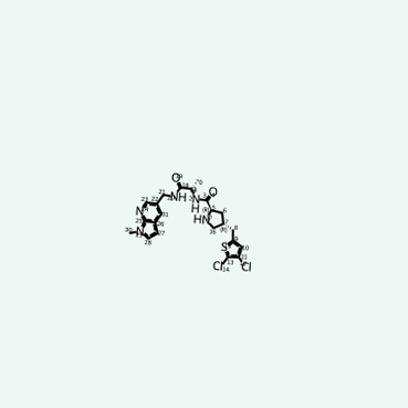 C[C@H](NC(=O)[C@H]1C[C@H](Cc2cc(Cl)c(Cl)s2)CN1)C(=O)NCc1cnc2c(ccn2C)c1